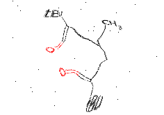 CC(CC(=O)C(C)(C)C)C(=O)C(C)(C)C